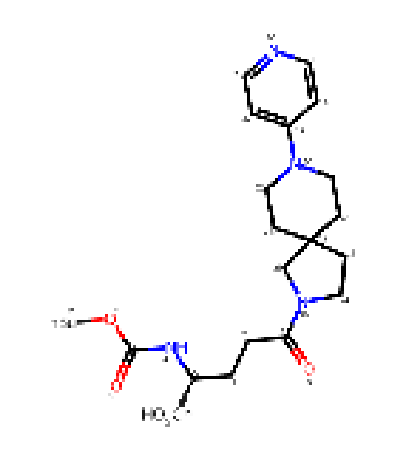 CCCCOC(=O)N[C@@H](CCC(=O)N1CCC2(CCN(c3ccncc3)CC2)C1)C(=O)O